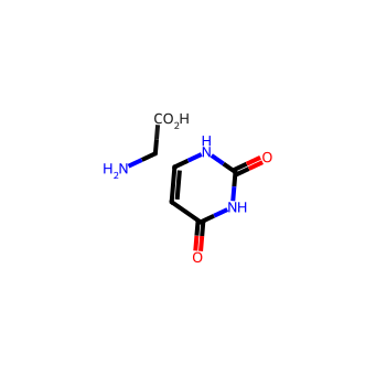 NCC(=O)O.O=c1cc[nH]c(=O)[nH]1